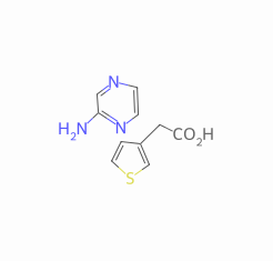 Nc1cnccn1.O=C(O)Cc1ccsc1